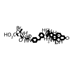 C[C@]12C=CC(=O)C=C1CC[C@H]1[C@@H]3C[C@H]4O[C@@H](c5cccc(Cc6ccc(NC(=O)CNC(=O)[C@H](CCC(=O)O)NC(=O)CBr)cc6)c5)O[C@@]4(C(=O)CO)[C@@]3(C)C[C@H](O)[C@@]12F